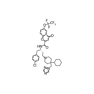 O=C(N[C@H](CCN1CCC(Cn2cncn2)(C2CCCCC2)CC1)Cc1ccc(Cl)cc1)c1cc(=O)c2cc(OC(F)(F)C(F)(F)F)ccc2o1